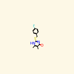 Cc1[nH]c(SCc2ccc(F)cc2)nc(=O)c1C